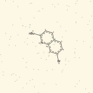 CCCCc1ccc2ccc(Br)cc2n1